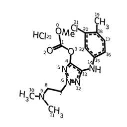 COC(=O)Oc1nn(CCN(C)C)nc1Nc1ccc(C)c(Cl)c1.Cl